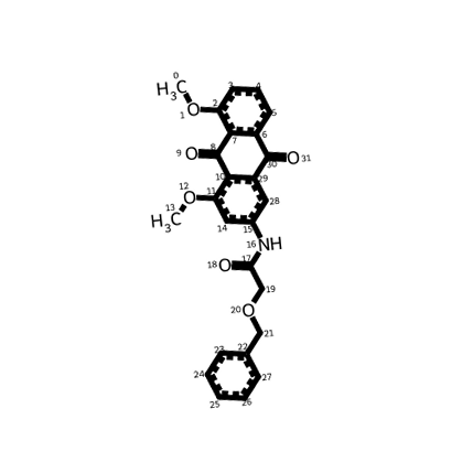 COc1cccc2c1C(=O)c1c(OC)cc(NC(=O)COCc3ccccc3)cc1C2=O